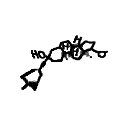 COC1CC[C@H]2[C@@H]3CCC4CC(O)(C#Cc5ccc(C)cc5)CC[C@]4(C)[C@@H]3CC[C@]12C